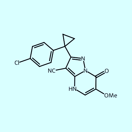 COc1c[nH]c2c(C#N)c(C3(c4ccc(Cl)cc4)CC3)nn2c1=O